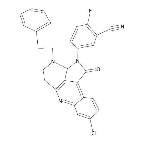 N#Cc1cc(N2C(=O)c3c4c(nc5cc(Cl)ccc35)CCN(CCc3ccccc3)C42)ccc1F